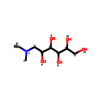 CN(CC(O)C(O)C(O)C(O)CO)C(C)(C)C